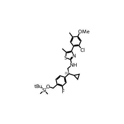 COc1cc(Cl)c(-c2nc(NC[C@H](c3ccc(CO[Si](C)(C)C(C)(C)C)c(F)c3)C3CC3)sc2C)cc1C